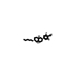 CCCCCC[C@@H]1CC[C@@H]2C[C@H](c3cc(F)c(C#N)c(F)c3)CC[C@@H]2C1